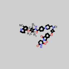 CCN(CC1CCN(c2ccc(C(=O)NC3C(C)(C)C(Oc4ccc(C#N)c5ncccc45)C3(C)C)cc2)CC1)C1CC(Oc2ccc3c(c2)C(=O)N(C2CCC(=O)NC2=O)C3=O)C1